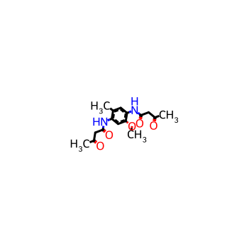 COc1cc(NC(=O)CC(C)=O)c(C)cc1NC(=O)CC(C)=O